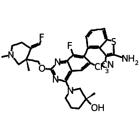 CN1CC/C(=C\F)[C@](C)(COc2nc(N3CCC[C@@](C)(O)C3)c3cc(C(F)(F)F)c(-c4cccc5sc(N)c(C#N)c45)c(F)c3n2)C1